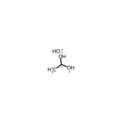 CC(O)O.Cl